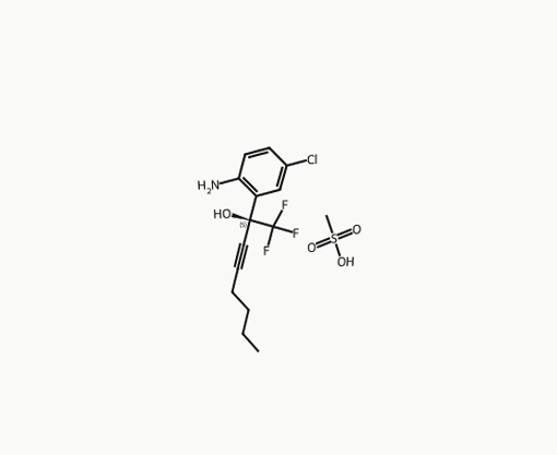 CCCCC#C[C@](O)(c1cc(Cl)ccc1N)C(F)(F)F.CS(=O)(=O)O